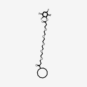 O=C(CCOCCOCCOCCOCCOCCC(=O)C1CCCCCCCCCC1)Oc1c(F)c(F)cc(F)c1F